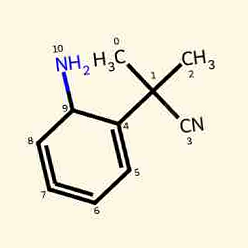 CC(C)(C#N)C1=CC=C=CC1N